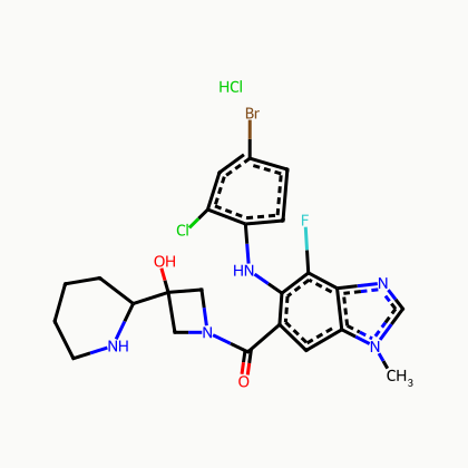 Cl.Cn1cnc2c(F)c(Nc3ccc(Br)cc3Cl)c(C(=O)N3CC(O)(C4CCCCN4)C3)cc21